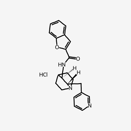 Cl.O=C(N[C@@H]1C2CCN(CC2)[C@H]1Cc1cccnc1)c1cc2ccccc2o1